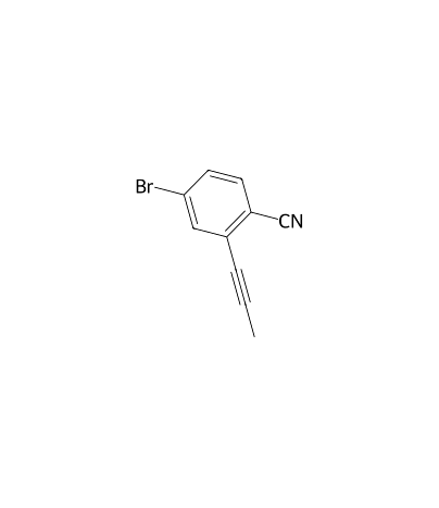 CC#Cc1cc(Br)ccc1C#N